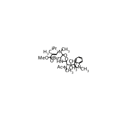 COC(=O)/C(C)=C/[C@H](C(C)C)N(C)C(=O)[C@@H](NC(=O)[C@@H](N(C)C(C)=O)C(C)(C)c1cn(C)c2ccccc12)C(C)(C)C